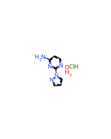 Cl.Nc1ccnc(-n2cccn2)n1.O